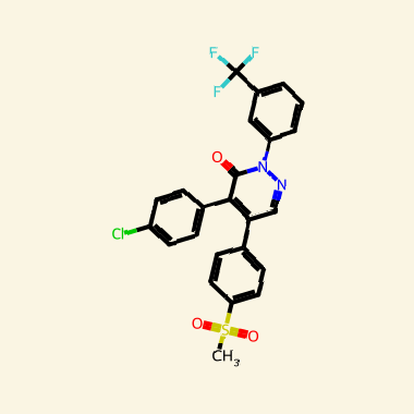 CS(=O)(=O)c1ccc(-c2cnn(-c3cccc(C(F)(F)F)c3)c(=O)c2-c2ccc(Cl)cc2)cc1